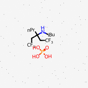 CCCC(CC(F)(F)F)(CC(F)(F)F)NC(C)CC.O=P(O)(O)O